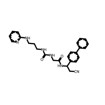 N#CCC(NC(=O)CNC(=O)NCCCNc1ccccn1)c1ccc(-c2ccccc2)cc1